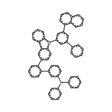 c1ccc(-c2cc(-c3cccc4ccccc34)cc(-n3c4ccccc4c4cc(-c5ccccc5-c5cccc(N(c6ccccc6)c6ccccc6)c5)ccc43)c2)cc1